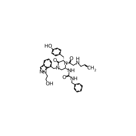 C=CCNCC(=O)N1[C@@H](NC(=O)NCc2ccccc2)CN(Cc2cccc3cnn(CCO)c23)C(=O)[C@@H]1Cc1ccc(O)cc1